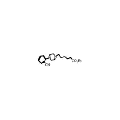 CCOC(=O)CCCCCN1CCN(c2ccccc2C#N)CC1